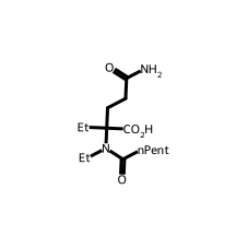 CCCCCC(=O)N(CC)C(CC)(CCC(N)=O)C(=O)O